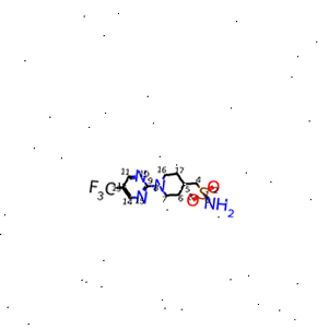 NS(=O)(=O)CC1CCN(c2ncc(C(F)(F)F)cn2)CC1